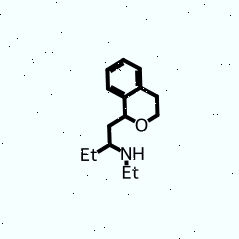 CCNC(CC)CC1OCCc2ccccc21